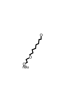 CCCCOCCOCCCCCCCC[O]